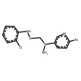 CC(=O)c1ccc(N(N)CSNc2ccccc2Cl)cn1